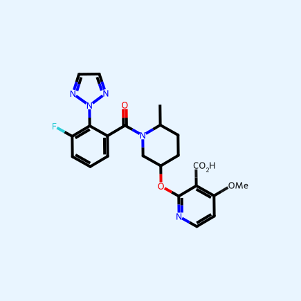 COc1ccnc(OC2CCC(C)N(C(=O)c3cccc(F)c3-n3nccn3)C2)c1C(=O)O